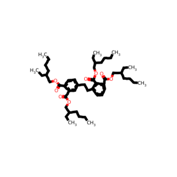 CCCCC(CC)COC(=O)c1ccc(CCc2cccc(C(=O)OCC(CC)CCCC)c2C(=O)OCC(CC)CCCC)cc1C(=O)OCC(CC)CCCC